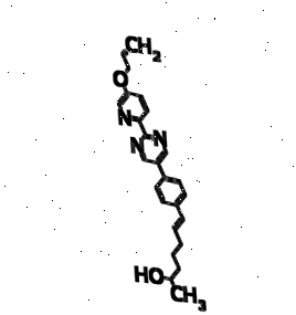 C=CCOc1ccc(-c2ncc(-c3ccc(/C=C/CCCC(C)O)cc3)cn2)nc1